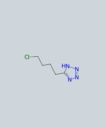 ClCCCCc1nnn[nH]1